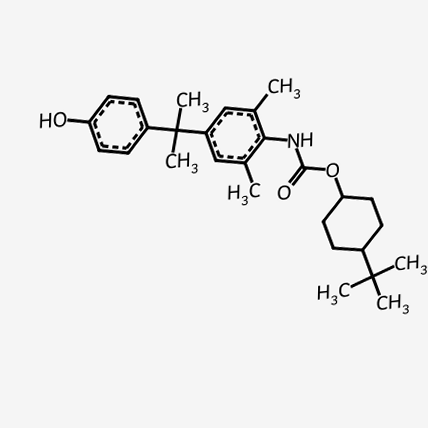 Cc1cc(C(C)(C)c2ccc(O)cc2)cc(C)c1NC(=O)OC1CCC(C(C)(C)C)CC1